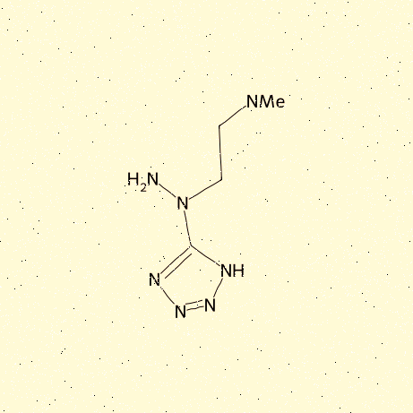 CNCCN(N)c1nnn[nH]1